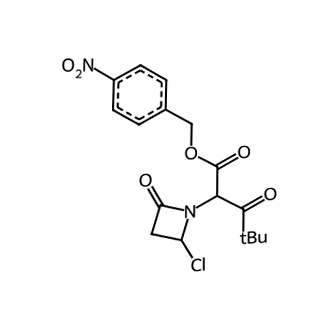 CC(C)(C)C(=O)C(C(=O)OCc1ccc([N+](=O)[O-])cc1)N1C(=O)CC1Cl